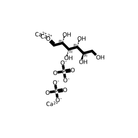 O=C[C@H](O)[C@@H](O)[C@H](O)[C@H](O)CO.O=P([O-])([O-])[O-].O=P([O-])([O-])[O-].[Ca+2].[Ca+2].[Ca+2]